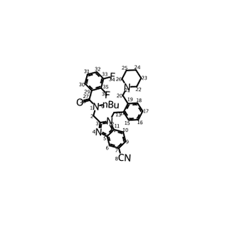 CCCCN(Cc1nc2cc(C#N)ccc2n1Cc1ccccc1CN1CCCCC1)C(=O)c1cccc(F)c1F